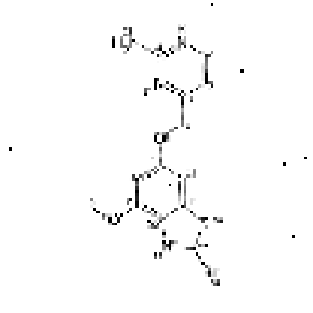 COc1cc(OCc2ccnc(N)n2)cc2sc(Br)nc12